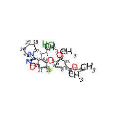 CCCc1c(Oc2ccc(C(C)OCC)cc2OC)c(F)cc2onc(N3CCCCC3)c12.Cl